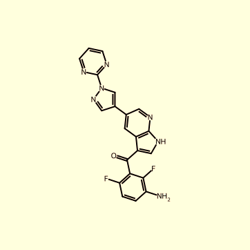 Nc1ccc(F)c(C(=O)c2c[nH]c3ncc(-c4cnn(-c5ncccn5)c4)cc23)c1F